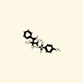 Cc1ccc(S(=O)(=O)OC(C)C(C)(O)C(=O)c2ccccc2)cc1